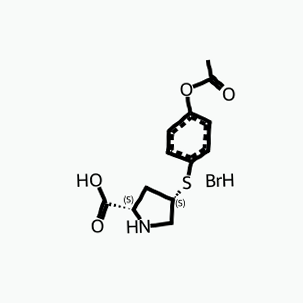 Br.CC(=O)Oc1ccc(S[C@@H]2CN[C@H](C(=O)O)C2)cc1